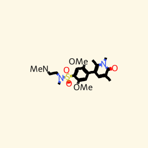 CNCCN(C)S(=O)(=O)c1cc(OC)c(-c2cc(C)c(=O)n(C)c2C)cc1OC